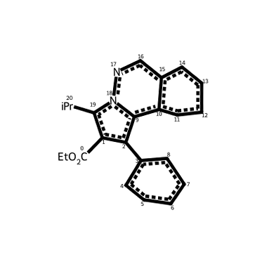 CCOC(=O)c1c(-c2ccccc2)c2c3ccccc3cnn2c1C(C)C